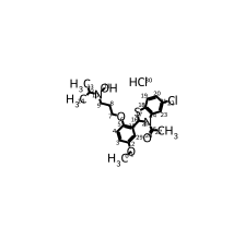 COc1ccc(OCCCN(O)C(C)C)c(C2Sc3ccc(Cl)cc3N2C(C)=O)c1.Cl